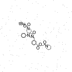 CC(C)(C)OC(=O)N1CCC2(CC1)C(=O)N(Cc1cccc(C(=O)OCC(=O)N3CCCCC3)c1)CN2c1ccccc1